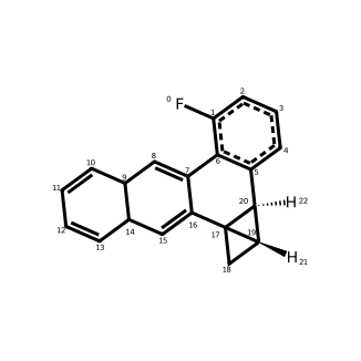 Fc1cccc2c1C1=CC3C=CC=CC3C=C1C13C[C@H]1[C@H]23